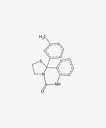 Cc1cccc(C23SCCN2C(=O)Nc2ccccc23)c1